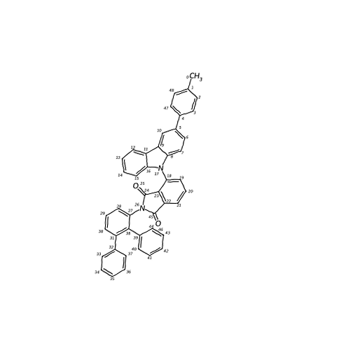 Cc1ccc(-c2ccc3c(c2)c2ccccc2n3-c2cccc3c2C(=O)N(c2cccc(-c4ccccc4)c2-c2ccccc2)C3=O)cc1